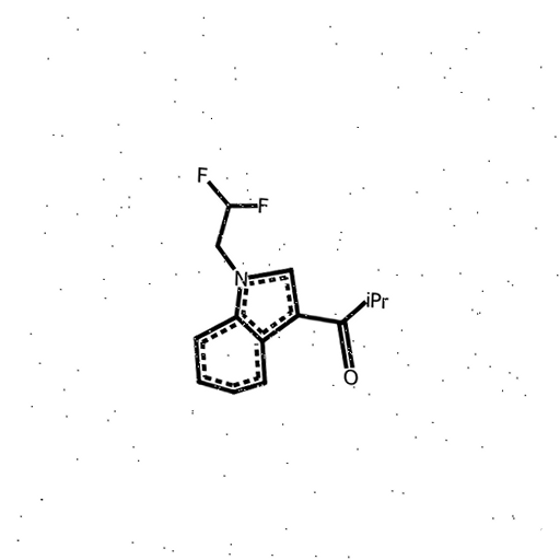 CC(C)C(=O)c1cn(CC(F)F)c2ccccc12